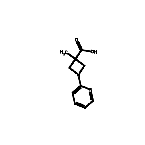 CC1(C(=O)O)CN(c2ccccn2)C1